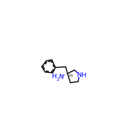 N[C@@]1(Cc2ccccc2)CCNC1